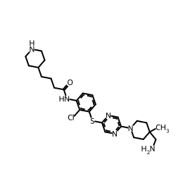 CC1(CN)CCN(c2cnc(Sc3cccc(NC(=O)CCCC4CCNCC4)c3Cl)cn2)CC1